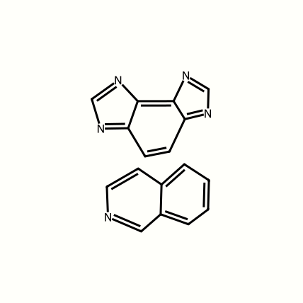 C1=Nc2c3c(ccc2=N1)=NC=N3.c1ccc2cnccc2c1